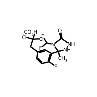 CC1(c2cc(CC(Cl)(Cl)C(=O)O)ccc2F)NNC(=O)N1C(F)F